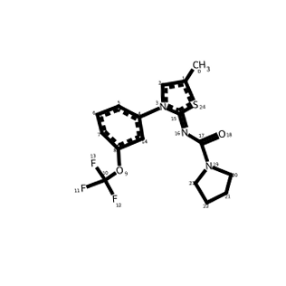 Cc1cn(-c2cccc(OC(F)(F)F)c2)c(=NC(=O)N2CCCC2)s1